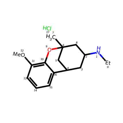 CCNC1CC2CC(C)(C1)Oc1c(OC)cccc12.Cl